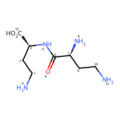 NCC[C@H](NC(=O)[C@@H](N)CCN)C(=O)O